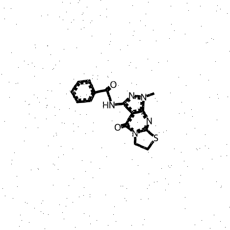 Cn1nc(NC(=O)c2ccccc2)c2c(=O)n3c(nc21)SCC3